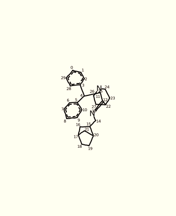 c1ccc(C(c2ccccc2)C2C(=NCC3CC4CCC3C4)C3CCN2CC3)cc1